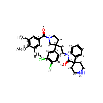 COc1c(C)cc(C(=O)N2CCC(CCNC(=O)C3(c4ccccc4)CCNCC3)(c3ccc(Cl)c(Cl)c3)C2)cc1C